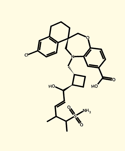 CC(/C=C/C(O)[C@@H]1CC[C@H]1CN1C[C@@]2(CCCc3cc(Cl)ccc32)COc2ccc(C(=O)O)cc21)C(C)S(N)(=O)=O